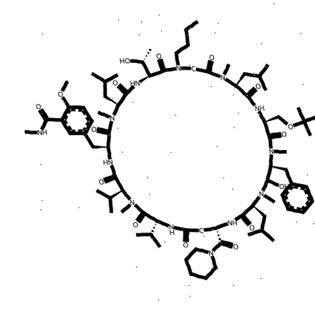 CCCCN1CC(=O)N(C)[C@@H](CC(C)C)C(=O)N[C@@H](COC(C)(C)C)C(=O)N(C)[C@@H](Cc2ccccc2)C(O)N(C)[C@@H](CC(C)C)C(=O)N[C@H](C(=O)N2CCCCC2)CC(=O)N[C@H](C(C)C)C(=O)N(C)[C@@H](C(C)C)C(=O)N[C@@H](Cc2ccc(OC)c(C(=O)NC)c2)C(=O)N(C)[C@@H](CC(C)C)C(=O)N[C@@H]([C@@H](C)O)C1=O